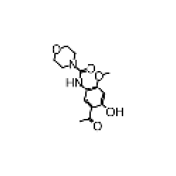 COc1cc(O)c(C(C)=O)cc1NC(=O)N1CCOCC1